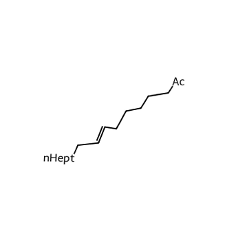 CCCCCCCCC=CCCCCCC(C)=O